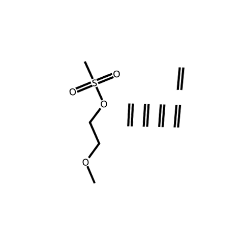 C=C.C=C.C=C.C=C.C=C.COCCOS(C)(=O)=O